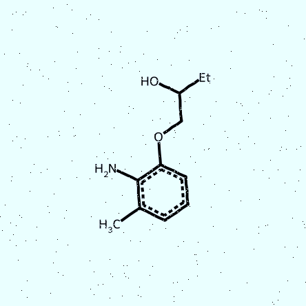 CCC(O)COc1cccc(C)c1N